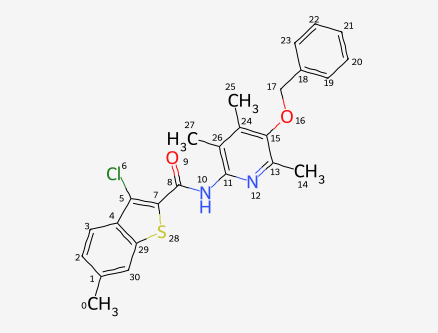 Cc1ccc2c(Cl)c(C(=O)Nc3nc(C)c(OCc4ccccc4)c(C)c3C)sc2c1